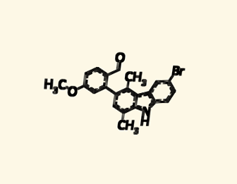 COc1ccc(C=O)c(-c2cc(C)c3[nH]c4ccc(Br)cc4c3c2C)c1